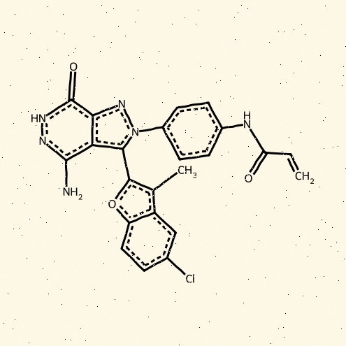 C=CC(=O)Nc1ccc(-n2nc3c(=O)[nH]nc(N)c3c2-c2oc3ccc(Cl)cc3c2C)cc1